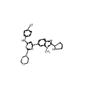 Cn1c(C2CCCN2)nc2ccc(-c3cc(Nc4ccc(Cl)cc4)nc(N4CCOCC4)n3)cc21